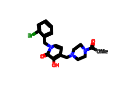 COC(=O)N1CCN(Cc2ccn(Cc3ccccc3Br)c(=O)c2O)CC1